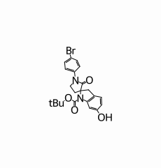 CC(C)(C)OC(=O)N1c2cc(O)ccc2CC12CCN(c1ccc(Br)cc1)C2=O